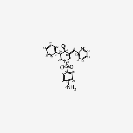 Nc1ccc(S(=O)(=O)N2CC(=Cc3ccccn3)C(=O)C(c3ccccc3)C2)cc1